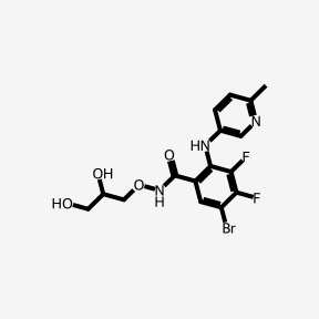 Cc1ccc(Nc2c(C(=O)NOCC(O)CO)cc(Br)c(F)c2F)cn1